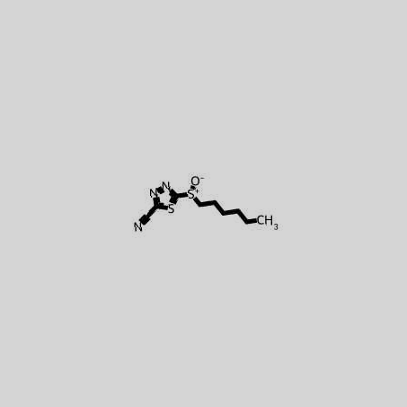 CCCCCC[S+]([O-])c1nnc(C#N)s1